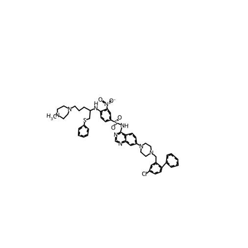 CN1CCN(CCCC(CSc2ccccc2)Nc2ccc(S(=O)(=O)Nc3ncnc4cc(N5CCN(Cc6cc(Cl)ccc6-c6ccccc6)CC5)ccc34)cc2[N+](=O)[O-])CC1